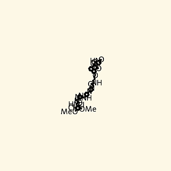 COc1cc(OC)c(Cl)c(NC(=O)N(C)c2cc(Nc3ccc(N4CCN(CC(=O)NCCCOc5cc6c7c(cccc7c5)C(=O)N(C5CCC(=O)NC5=O)C6=O)CC4)cc3)ncn2)c1Cl